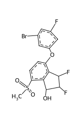 CS(=O)(=O)c1ccc(Oc2cc(F)cc(Br)c2)c2c1C(O)C(F)C2F